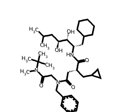 CC(C)C[C@H](O)[C@H](O)[C@H](CC1CCCCC1)NC(=O)[C@@H](CC(=O)N(CC(=O)N(C)C(C)(C)C)Cc1ccccc1)CC1CC1